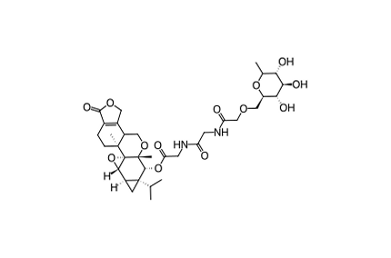 CC1O[C@H](COCC(=O)NCC(=O)NCC(=O)O[C@@H]2[C@@]3(C(C)C)C[C@H]3[C@@H]3O[C@@]34[C@@]3(C)CCC5=C(COC5=O)C3CO[C@]24C)[C@@H](O)[C@H](O)[C@H]1O